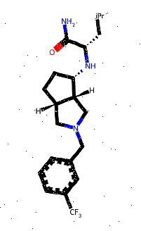 CC(C)C[C@H](N[C@H]1CC[C@H]2CN(Cc3cccc(C(F)(F)F)c3)C[C@H]21)C(N)=O